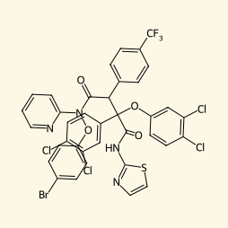 O=C(C(c1ccc(C(F)(F)F)cc1)C(Oc1ccc(Cl)c(Cl)c1)(C(=O)Nc1nccs1)c1ccc(Cl)c(Cl)c1)N(Oc1ccc(Br)cc1)c1ccccn1